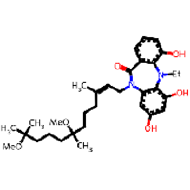 CCN1c2c(O)cccc2C(=O)N(CC=C(C)CCCC(C)(CCCC(C)(C)OC)OC)c2cc(O)cc(O)c21